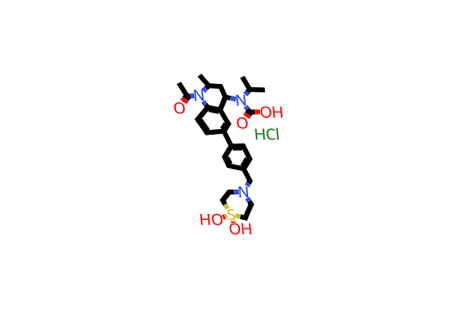 CC(=O)N1c2ccc(-c3ccc(CN4CCS(O)(O)CC4)cc3)cc2C(N(C(=O)O)C(C)C)CC1C.Cl